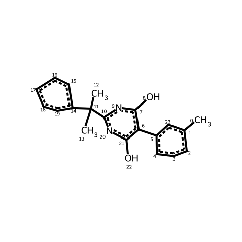 Cc1cccc(-c2c(O)nc(C(C)(C)c3ccccc3)nc2O)c1